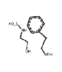 CCCCCCCCCCCCc1ccccc1.O=S(=O)(O)NCCO